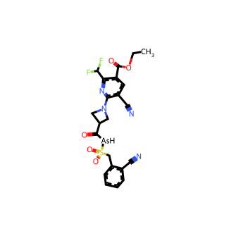 CCOC(=O)c1cc(C#N)c(N2CC(C(=O)[AsH]S(=O)(=O)Cc3ccccc3C#N)C2)nc1C(F)F